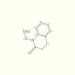 O=CON1C(=O)CCc2ccccc21